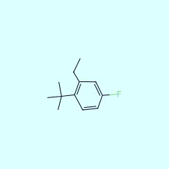 CCc1cc(F)ccc1C(C)(C)C